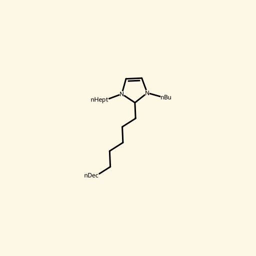 CCCCCCCCCCCCCCCC1N(CCCC)C=CN1CCCCCCC